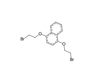 BrCCOc1ccc(OCCBr)c2ccccc12